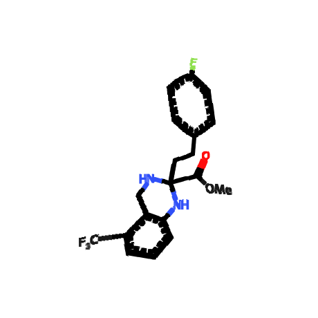 COC(=O)C1(CCc2ccc(F)cc2)NCc2c(cccc2C(F)(F)F)N1